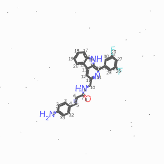 Nc1ccc(/C=C/C(=O)NCc2cc3c([nH]c4ccccc43)c(-c3cc(F)cc(F)c3)n2)cc1